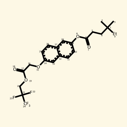 CCC(C)(C)CCC(=O)Oc1ccc2cc(OCC(=O)OCC(F)(F)C(F)(F)F)ccc2c1